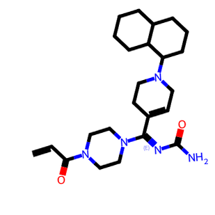 C=CC(=O)N1CCN(/C(=N/C(N)=O)C2=CCN(C3CCCC4CCCCC43)CC2)CC1